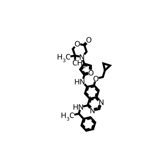 CC(Nc1ncnc2cc(OCC3CC3)c(Nc3cc(N4CC(=O)OCC4(C)C)co3)cc12)c1ccccc1